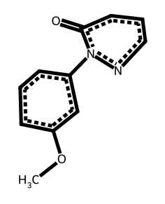 COc1cccc(-n2ncccc2=O)c1